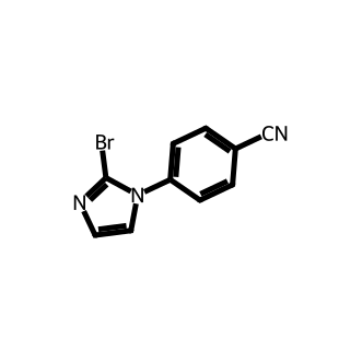 N#Cc1ccc(-n2ccnc2Br)cc1